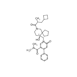 CC(CC1CCC1)C(=O)N1CC[C@@](O)(Cn2cc(C(=O)N(C)C)c(-c3ccccc3)cc2=O)C2(CCCC2)C1